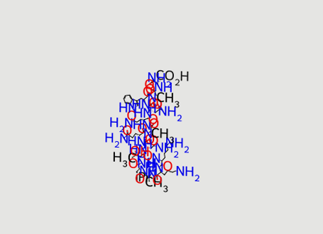 CC(C)C[C@H](NC(=O)[C@H](C)NC(=O)[C@H](CCCCN)NC(=O)[C@@H](N)CCCCN)C(=O)N[C@H](C(=O)N[C@@H](CC(N)=O)C(=O)N[C@@H](CCC(N)=O)C(=O)N[C@@H](C)C(=O)N[C@@H](CCC(N)=O)C(=O)N[C@@H](CC(N)=O)C(=O)N[C@@H](Cc1c[nH]c2ccccc12)C(=O)N[C@@H](C)C(=O)N[C@@H](CC(=O)O)C(N)=O)[C@@H](C)O